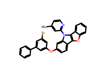 CC(C)(C)c1ccnc(-n2c3cc(Oc4cc(Br)cc(-c5ccccc5)c4)ccc3c3oc4ccccc4c32)c1